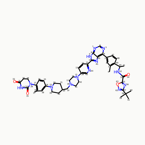 Cc1cc(-c2ncnc3[nH]c(-c4ccc(N5CCN(CC6CCN(c7ccc(N8CCC(=O)NC8=O)c(C)c7)CC6)CC5)cn4)nc23)ccc1C(C)NC(=O)c1nc(C(C)(C)C)no1